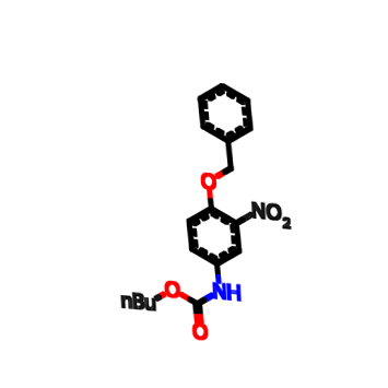 CCCCOC(=O)Nc1ccc(OCc2ccccc2)c([N+](=O)[O-])c1